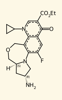 CCOC(=O)c1cn(C2CC2)c2c3c(c(F)cc2c1=O)N1C[C@H](N)C[C@H]1COC3